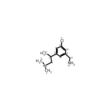 CC(CN(C)C)c1cc(Cl)cc(CN)c1